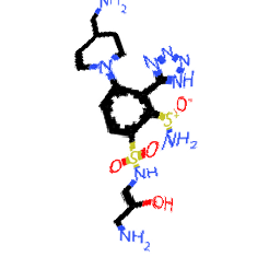 NCC(O)CNS(=O)(=O)c1ccc(N2CCC(CN)CC2)c(-c2nnn[nH]2)c1[S+](N)[O-]